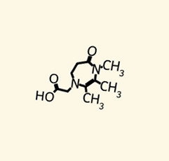 CC1=C(C)N(C)C(=O)CCN1CC(=O)O